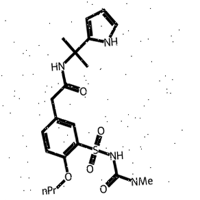 CCCOc1ccc(CC(=O)NC(C)(C)c2ccc[nH]2)cc1S(=O)(=O)NC(=O)NC